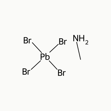 CN.[Br][Pb]([Br])([Br])[Br]